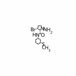 CSc1cccc(NC(=O)c2c(Br)ccn2N)c1